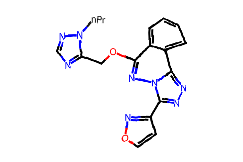 CCCn1ncnc1COc1nn2c(-c3ccon3)nnc2c2ccccc12